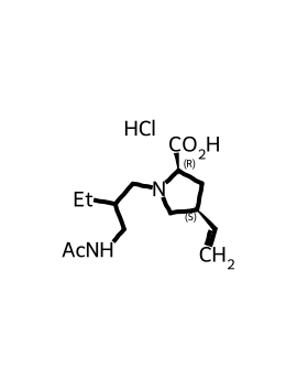 C=C[C@@H]1C[C@H](C(=O)O)N(CC(CC)CNC(C)=O)C1.Cl